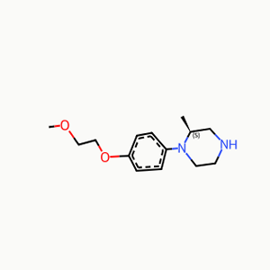 COCCOc1ccc(N2CCNC[C@@H]2C)cc1